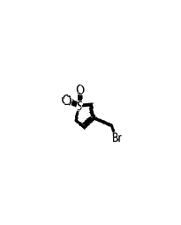 O=S1(=O)CC=C(CBr)C1